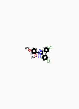 CC(C)Oc1ccc(C2=N[C@H](c3ccc(Cl)cc3)[C@H](c3ccc(Cl)cc3)N2)c(OC(C)C)c1